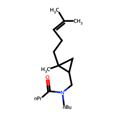 CCCCN(CC1CC1(C)CCC=C(C)C)C(=O)CCC